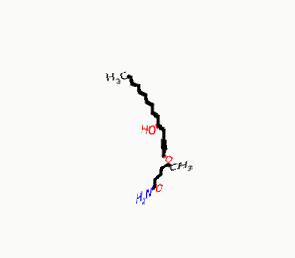 CCCCCCCCCCC(O)CC#CCOC(C)CCCC(N)=O